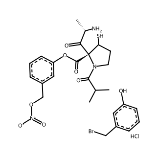 CC(C)C(=O)N1CCC(S)[C@@]1(C(=O)Oc1cccc(CO[N+](=O)[O-])c1)C(=O)[C@H](C)N.Cl.Oc1cccc(CBr)c1